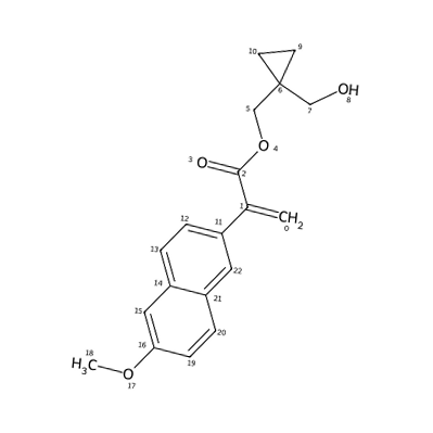 C=C(C(=O)OCC1(CO)CC1)c1ccc2cc(OC)ccc2c1